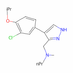 CCCN(C)Cc1n[nH]cc1-c1ccc(OC(C)C)c(Cl)c1